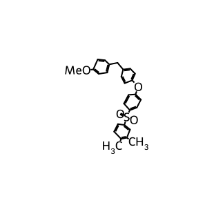 COc1ccc(Cc2ccc(Oc3ccc(S(=O)(=O)c4ccc(C)c(C)c4)cc3)cc2)cc1